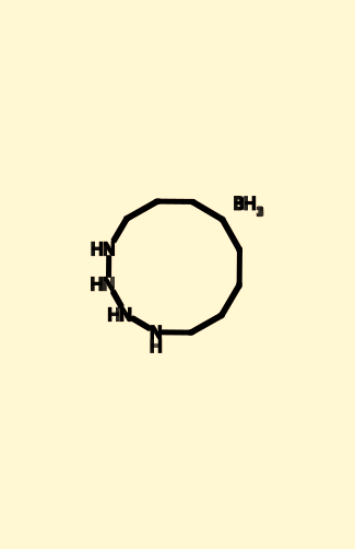 B.C1CCCCNNNNCCC1